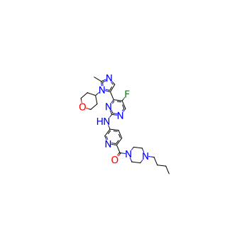 CCCCN1CCN(C(=O)c2ccc(Nc3ncc(F)c(-c4cnc(C)n4C4CCOCC4)n3)cn2)CC1